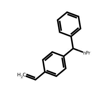 C=Cc1ccc(C(CCC)c2ccccc2)cc1